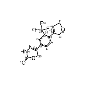 O=C1NN=C(c2ccc(C3=CCOC3)c(C(F)(F)F)c2)CO1